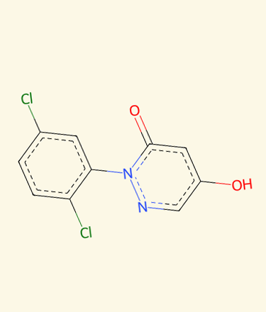 O=c1cc(O)cnn1-c1cc(Cl)ccc1Cl